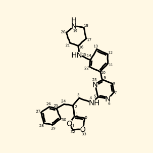 C1=C(C(CNc2nccc(-c3cccc(NC4CCNCC4)c3)n2)Cc2ccccc2)OCO1